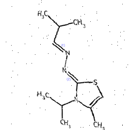 Cc1cs/c(=N\N=C\C(C)C)n1C(C)C